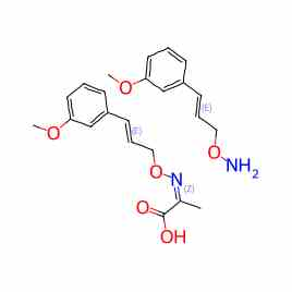 COc1cccc(/C=C/CO/N=C(/C)C(=O)O)c1.COc1cccc(/C=C/CON)c1